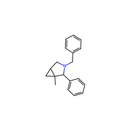 CC12CC1CN(Cc1ccccc1)C2c1ccccc1